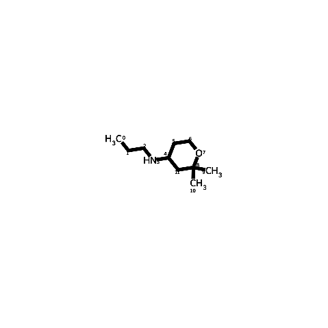 CCCNC1CCOC(C)(C)C1